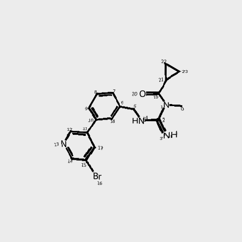 CN(C(=N)NCc1cccc(-c2cncc(Br)c2)c1)C(=O)C1CC1